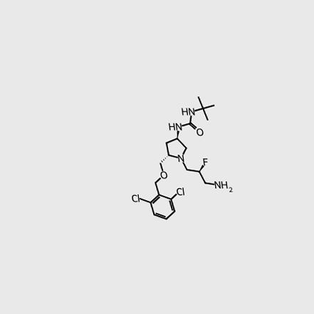 CC(C)(C)NC(=O)N[C@@H]1C[C@@H](COCc2c(Cl)cccc2Cl)N(C[C@@H](F)CN)C1